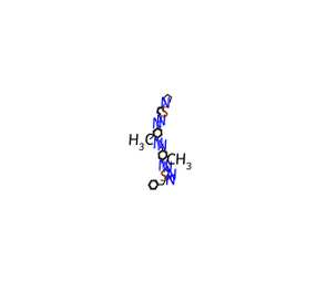 Cc1cc(/N=N/c2ccc(N3CCCC3)s2)ccc1/N=N/c1ccc(/N=N/c2nnc(Cc3ccccc3)s2)c(C)c1